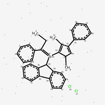 CC/[C](c1ccccc1)=[Zr+2](\[C]1=C(C)C(c2ccccc2)=CC1C)[CH]1c2ccccc2-c2ccccc21.[Cl-].[Cl-]